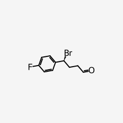 O=CCC[C@H](Br)c1ccc(F)cc1